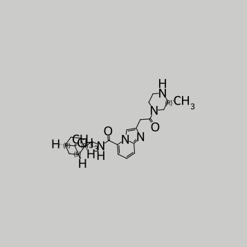 C[C@@H]1CN(C(=O)Cc2cn3c(C(=O)NC[C@@H]4CC[C@@H]5C[C@@H]4C5(C)C)cccc3n2)CCN1